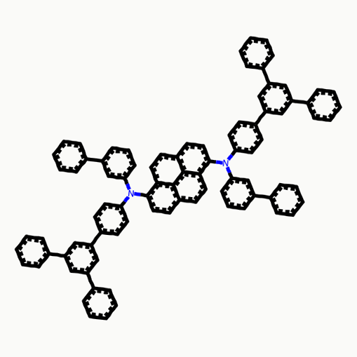 c1ccc(-c2cc(-c3ccccc3)cc(-c3ccc(N(c4cccc(-c5ccccc5)c4)c4ccc5ccc6c(N(c7ccc(-c8cc(-c9ccccc9)cc(-c9ccccc9)c8)cc7)c7cccc(-c8ccccc8)c7)ccc7ccc4c5c76)cc3)c2)cc1